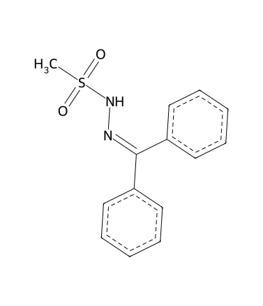 CS(=O)(=O)NN=C(c1ccccc1)c1ccccc1